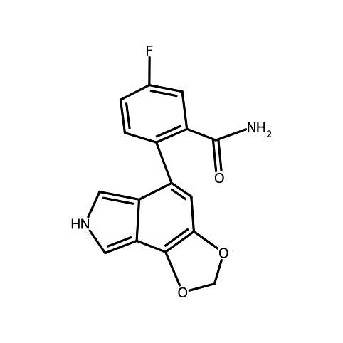 NC(=O)c1cc(F)ccc1-c1cc2c(c3c[nH]cc13)OCO2